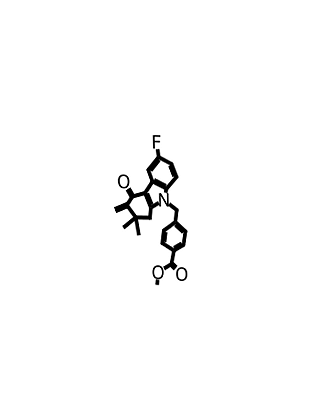 C=C1C(=O)c2c(n(Cc3ccc(C(=O)OC)cc3)c3ccc(F)cc23)CC1(C)C